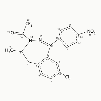 CC1Cc2ccc(Cl)cc2C(c2ccc([N+](=O)[O-])cc2)=NN1C(=O)C(F)(F)F